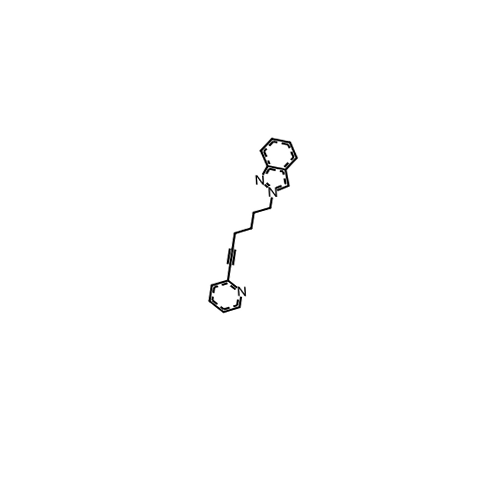 C(#Cc1ccccn1)CCCCn1cc2ccccc2n1